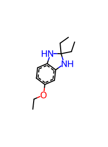 CCOc1ccc2c(c1)NC(CC)(CC)N2